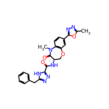 Cc1nnc(-c2ccc3c(c2)OC[C@@H](NC(=O)c2nnc(Cc4ccccc4)[nH]2)C(=O)N3C)o1